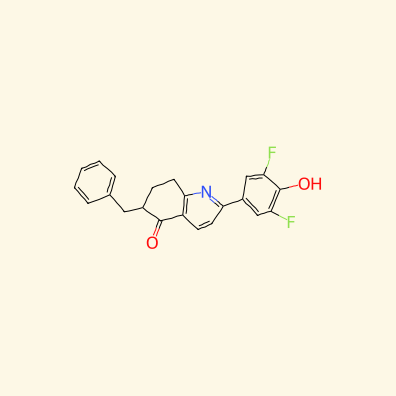 O=C1c2ccc(-c3cc(F)c(O)c(F)c3)nc2CCC1Cc1ccccc1